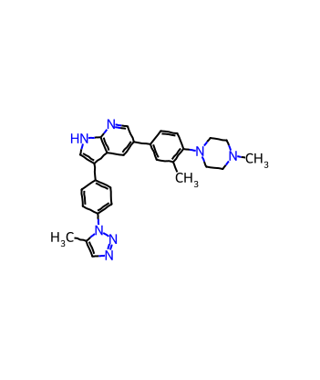 Cc1cc(-c2cnc3[nH]cc(-c4ccc(-n5nncc5C)cc4)c3c2)ccc1N1CCN(C)CC1